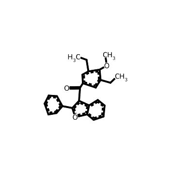 CCc1cc(C(=O)c2c(-c3ccccc3)oc3ccccc23)cc(CC)c1OC